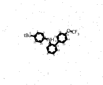 CC(C)(C)c1ccc(Nc2ccccc2-c2ccc(OC(F)(F)F)cc2)cc1